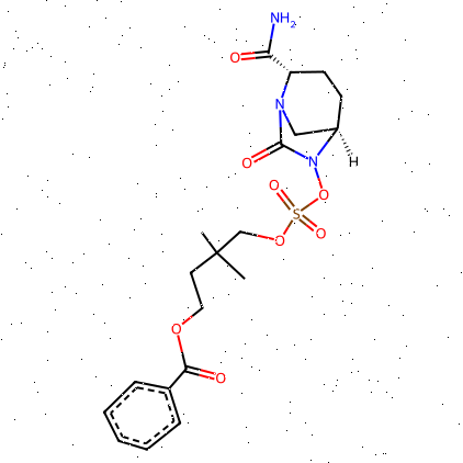 CC(C)(CCOC(=O)c1ccccc1)COS(=O)(=O)ON1C(=O)N2C[C@H]1CC[C@H]2C(N)=O